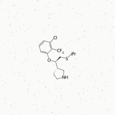 CC(C)SC[C@H](Oc1cccc(Cl)c1C(F)(F)F)[C@H]1CCNC1